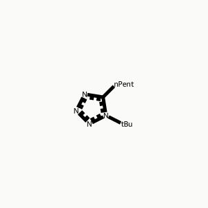 CCCCCc1nnnn1C(C)(C)C